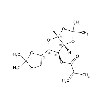 C=C(C)C(=O)O[C@H]1[C@H]([C@@H]2COC(C)(C)O2)O[C@@H]2OC(C)(C)O[C@@H]21